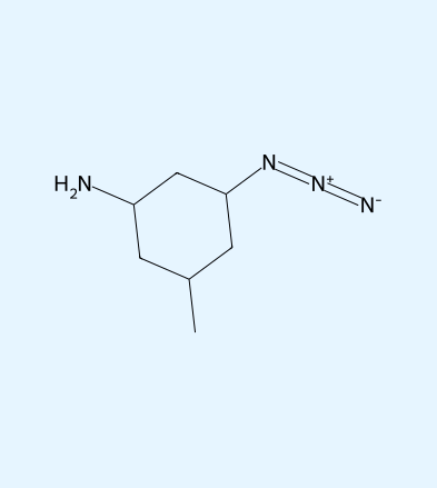 CC1CC(N)CC(N=[N+]=[N-])C1